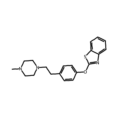 CN1CCN(CCc2ccc(Oc3nc4ccccc4s3)cc2)CC1